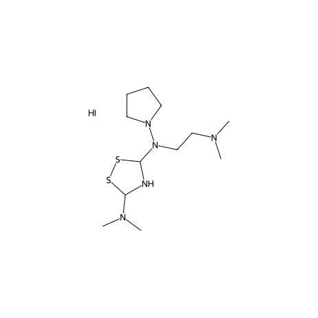 CN(C)CCN(C1NC(N(C)C)SS1)N1CCCC1.I